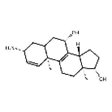 C[C@]12CCC3=C([C@@H](O)CC4C[C@@H](N)C=C[C@]34C)[C@@H]1CC[C@@H]2O